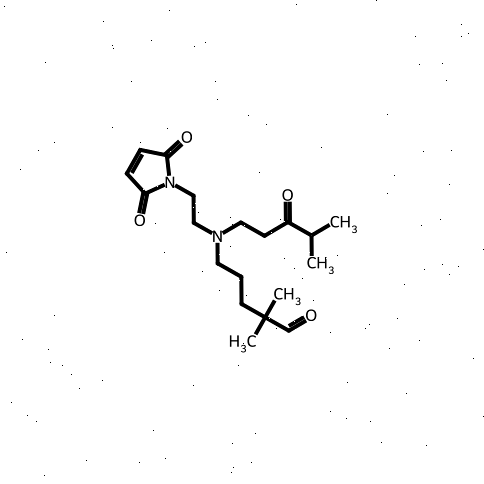 CC(C)C(=O)CCN(CCCC(C)(C)C=O)CCN1C(=O)C=CC1=O